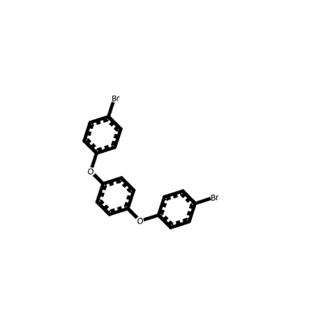 Brc1ccc(Oc2ccc(Oc3ccc(Br)cc3)cc2)cc1